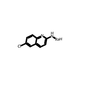 Clc1ccc2nc([NH][RaH])ccc2c1